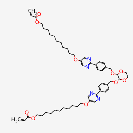 C=CC(=O)OCCCCCCCCCCCOc1cnc(-c2ccc(CO[C@H]3OCCO[C@@H]3OCc3ccc(-c4ncc(OCCCCCCCCCCCOC(=O)C=C)cn4)cc3)cc2)nc1